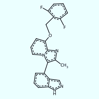 Cc1nc2c(OCc3c(F)cccc3F)cccn2c1-c1cccc2[nH]ncc12